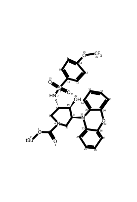 CC(C)(C)OC(=O)N1C[C@H](NS(=O)(=O)c2ccc(OC(F)(F)F)cc2)[C@@H](O)[C@@H](N2c3ccccc3Oc3ccccc32)C1